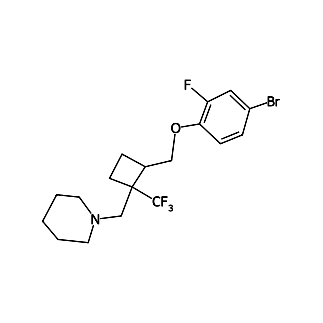 Fc1cc(Br)ccc1OCC1CCC1(CN1CCCCC1)C(F)(F)F